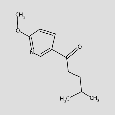 COc1ccc(C(=O)CCC(C)C)cn1